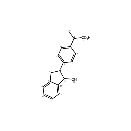 CC(C(=O)O)c1ccc(N2Cc3ccccc3C2O)cc1